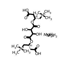 C[N+](C)(C)C[C@@H](CC(=O)O)OC(=O)C(O)C(O)C(=O)O[C@H](CC(=O)O)C[N+](C)(C)C.[MgH2].[MgH2]